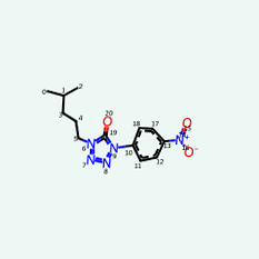 CC(C)CCCn1nnn(-c2ccc([N+](=O)[O-])cc2)c1=O